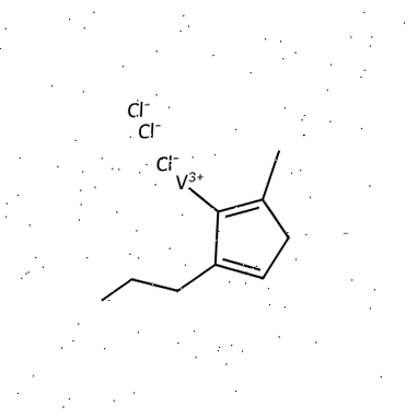 CCCC1=CCC(C)=[C]1[V+3].[Cl-].[Cl-].[Cl-]